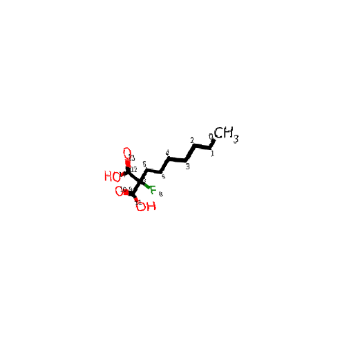 CCCCCCCC(F)(C(=O)O)C(=O)O